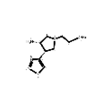 COCCN1C[C@@H](N)[C@H](c2csnn2)C1